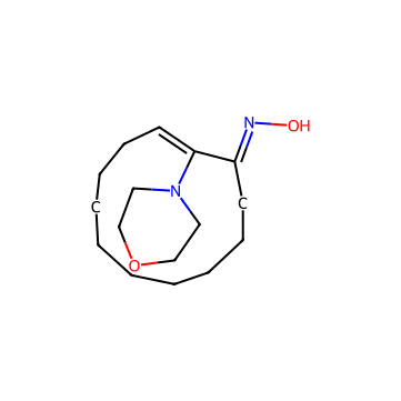 O/N=C1CCCCCCCCC\C=C\1N1CCOCC1